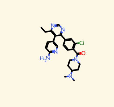 CCc1ncnc(-c2ccc(C(=O)N3CCC(N(C)C)CC3)c(Cl)c2)c1-c1ccc(N)nc1